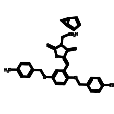 Cc1ccc(COc2ccc(OCc3ccc(C)cc3)c(C=C3SC(=S)N(CC(=O)O)C3=O)c2)cc1.c1cc2cc-2c1